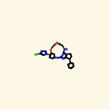 Clc1cn(-c2ccc3cc2OCCOCCNc2nc(nc4c2CCC4c2ccccc2)N3)cn1